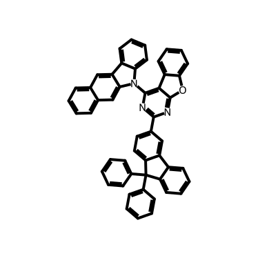 c1ccc(C2(c3ccccc3)c3ccccc3-c3cc(-c4nc(-n5c6ccccc6c6cc7ccccc7cc65)c5c(n4)oc4ccccc45)ccc32)cc1